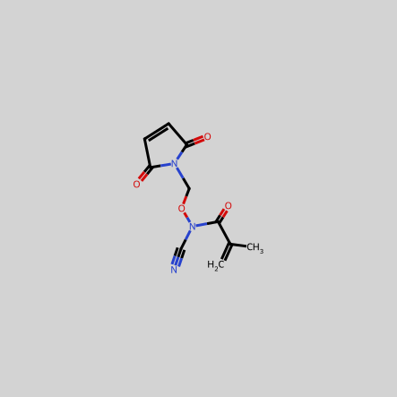 C=C(C)C(=O)N(C#N)OCN1C(=O)C=CC1=O